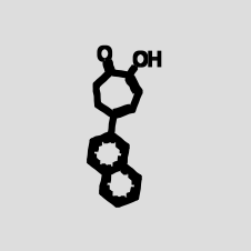 O=C1CCC(c2ccc3ccccc3c2)=CC=C1O